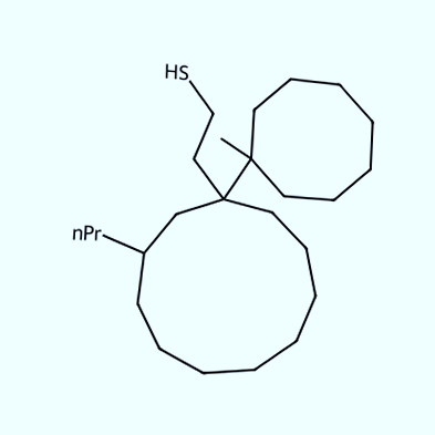 CCCC1CCCCCCCCC(CCS)(C2(C)CCCCCCC2)C1